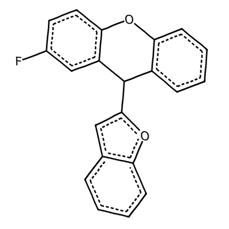 Fc1ccc2c(c1)C(c1cc3ccccc3o1)c1ccccc1O2